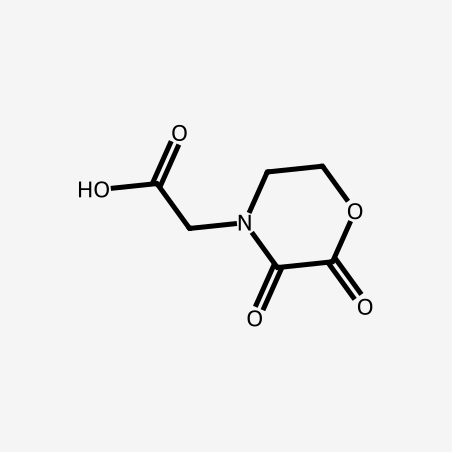 O=C(O)CN1CCOC(=O)C1=O